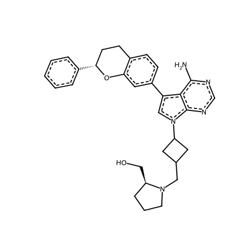 Nc1ncnc2c1c(-c1ccc3c(c1)O[C@H](c1ccccc1)CC3)cn2C1CC(CN2CCC[C@H]2CO)C1